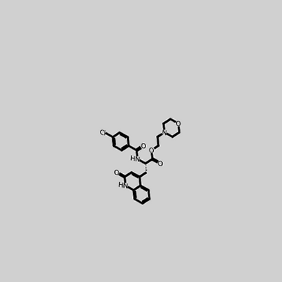 O=C(N[C@@H](Cc1cc(=O)[nH]c2ccccc12)C(=O)OCCN1CCOCC1)c1ccc(Cl)cc1